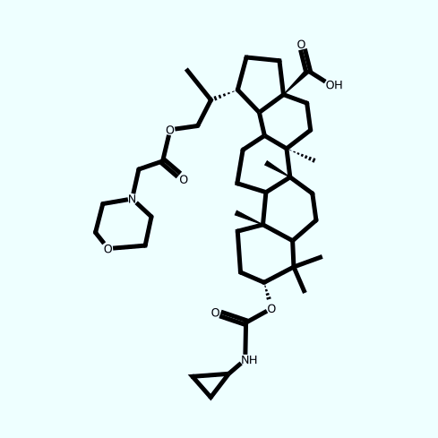 CC(COC(=O)CN1CCOCC1)[C@@H]1CC[C@]2(C(=O)O)CC[C@]3(C)C(CCC4[C@@]5(C)CC[C@@H](OC(=O)NC6CC6)C(C)(C)C5CC[C@]43C)C12